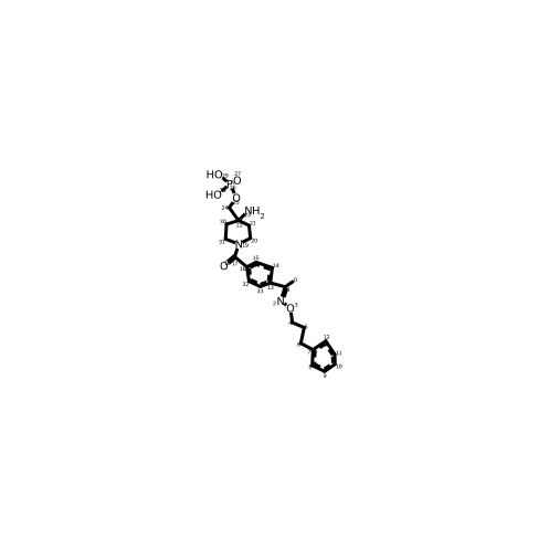 C/C(=N\OCCCc1ccccc1)c1ccc(C(=O)N2CCC(N)(COP(=O)(O)O)CC2)cc1